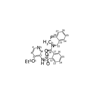 CCOc1ccncc1NS(=O)(=O)c1ccccc1C(=O)N(C)Cc1ccccc1F